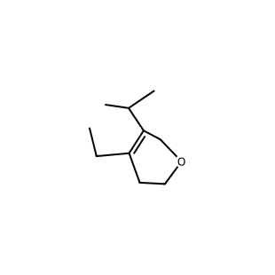 CCC1=C(C(C)C)COCC1